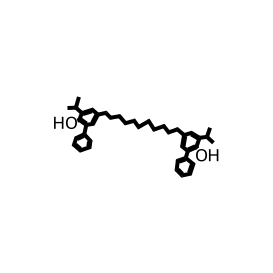 CC(C)c1cc(CCCCCCCCCCCc2cc(-c3ccccc3)c(O)c(C(C)C)c2)cc(-c2ccccc2)c1O